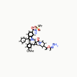 C=C(O/C(C)=N\N)C1CCN(C(=O)C23CC2c2cc(OC)ccc2-c2c(C4CCCCC4)c4ccc(C(=O)NS(=O)(=O)C(C)C)cc4n2C3)CC1